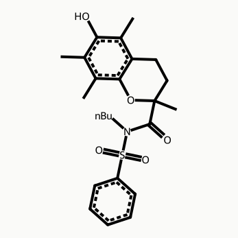 CCCCN(C(=O)C1(C)CCc2c(C)c(O)c(C)c(C)c2O1)S(=O)(=O)c1ccccc1